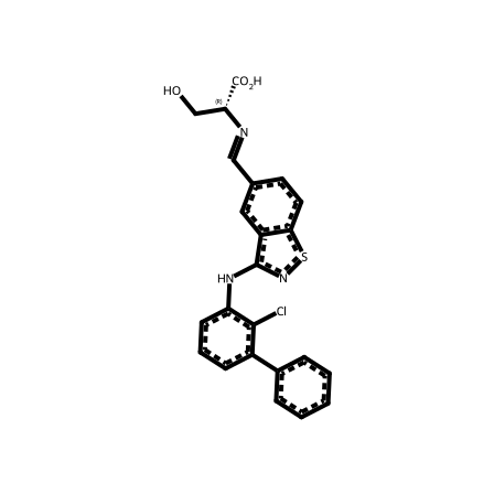 O=C(O)[C@@H](CO)N=Cc1ccc2snc(Nc3cccc(-c4ccccc4)c3Cl)c2c1